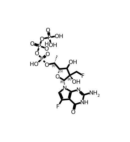 C[C@@H](OP(=O)(O)OP(=O)(O)OP(=O)(O)O)[C@H]1O[C@@H](n2cc(F)c3c(=O)[nH]c(N)nc32)[C@@](O)(CF)C1O